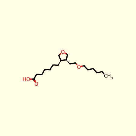 CCCCCCOCC[C@@H]1COC[C@@H]1CCCCCCC(=O)O